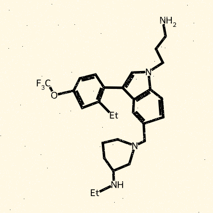 CCNC1CCCN(Cc2ccc3c(c2)c(-c2ccc(OC(F)(F)F)cc2CC)cn3CCCN)C1